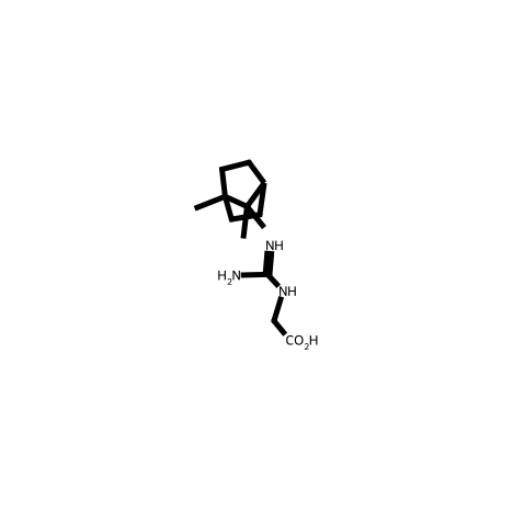 CC12CCC(CC1)C2(C)C.N=C(N)NCC(=O)O